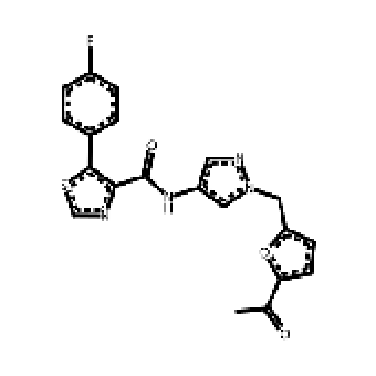 CC(=O)c1ccc(Cn2cc(NC(=O)c3ncsc3-c3ccc(F)cc3)cn2)o1